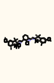 COc1cc(C)c2c(c1)C(C)(C)/C(=C/C=C1\CCCC(/C=C/C3(OC)N(C)c4c(C)cc(OC)cc4C3(C)C)=C1Cl)N2C